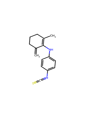 C=C1CCCC(C)=C1Nc1ccc(N=C=S)cc1